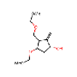 C=C1C(COCOC)C(OCOC)C[C@H]1O